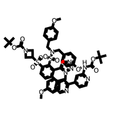 COc1ccc(CN(Cc2ccc(OC)cc2)S(=O)(=O)c2c(S(=O)(=O)C3CN(C(=O)OC(C)(C)C)C3)ccc(-c3ccnc(-c4ccnc(NC(=O)OC(C)(C)C)c4)c3)c2-c2nnnn2Cc2ccc(OC)cc2)cc1